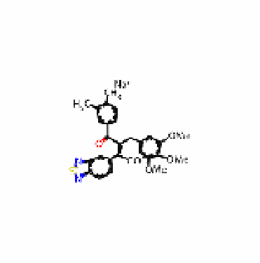 COc1cc(CC(C(=O)c2ccc(C)c(C)c2)=C(C(=O)[O-])c2ccc3nsnc3c2)cc(OC)c1OC.[Na+]